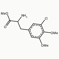 COC(=O)C(N)Cc1cc(Cl)c(OC)c(OC)c1